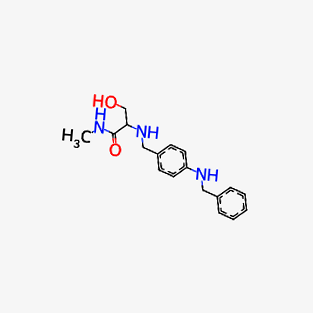 CNC(=O)C(CO)NCc1ccc(NCc2ccccc2)cc1